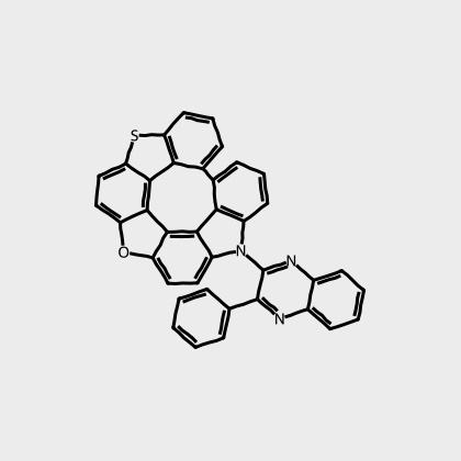 c1ccc(-c2nc3ccccc3nc2-n2c3cccc4c5cccc6sc7ccc8oc9ccc2c(c9c8c7c65)c43)cc1